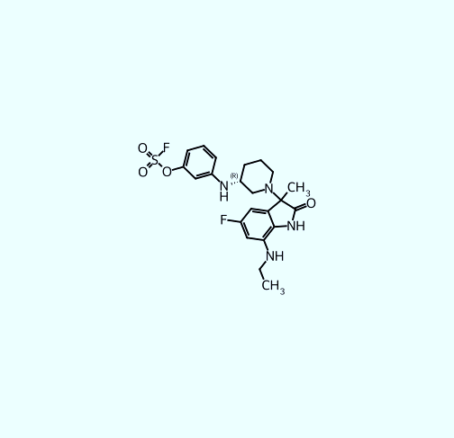 CCNc1cc(F)cc2c1NC(=O)C2(C)N1CCC[C@@H](Nc2cccc(OS(=O)(=O)F)c2)C1